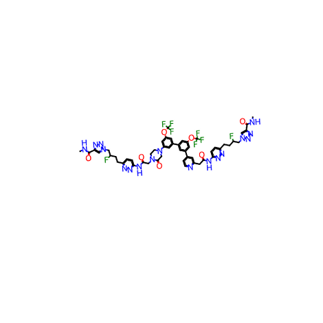 CNC(=O)c1cn(CC(F)CCc2ccc(NC(=O)Cc3cc(-c4cc(OC(F)(F)F)cc(-c5cc(OC(F)(F)F)cc(N6CCN(CC(=O)Nc7ccc(CCC(F)Cn8cc(C(=O)NC)nn8)nn7)C(=O)C6)c5)c4)ccn3)nn2)nn1